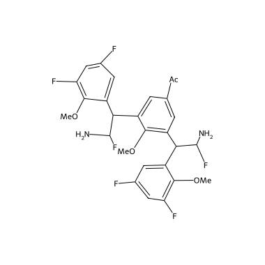 COc1c(F)cc(F)cc1C(c1cc(C(C)=O)cc(C(c2cc(F)cc(F)c2OC)C(N)F)c1OC)C(N)F